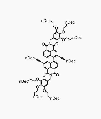 CCCCCCCCCCC#Cc1cc2c3c(ccc4c5c(C#CCCCCCCCCCC)cc6c7c(ccc(c1c34)c75)C(=O)N(Cc1cc(OCCCCCCCCCCCC)c(OCCCCCCCCCCCC)c(OCCCCCCCCCCCC)c1)C6=O)C(=O)N(Cc1cc(OCCCCCCCCCCCC)c(OCCCCCCCCCCCC)c(OCCCCCCCCCCCC)c1)C2=O